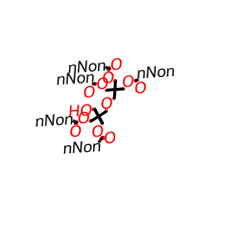 CCCCCCCCCC(=O)OCC(CO)(COCC(COC(=O)CCCCCCCCC)(COC(=O)CCCCCCCCC)COC(=O)CCCCCCCCC)COC(=O)CCCCCCCCC